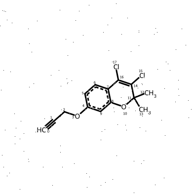 C#CCOc1ccc2c(c1)OC(C)(C)C(Cl)=C2Cl